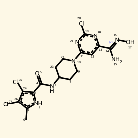 Cc1[nH]c(C(=O)NC2CCN(c3cc(/C(N)=N/O)nc(Cl)n3)CC2)c(Cl)c1Cl